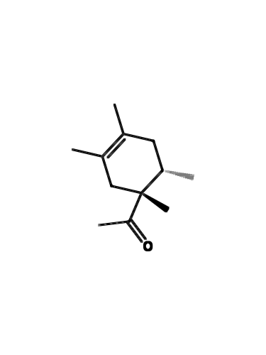 CC(=O)[C@]1(C)CC(C)=C(C)C[C@@H]1C